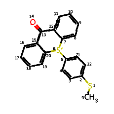 CSc1ccc(-[s+]2c3ccccc3c(=O)c3ccccc32)cc1